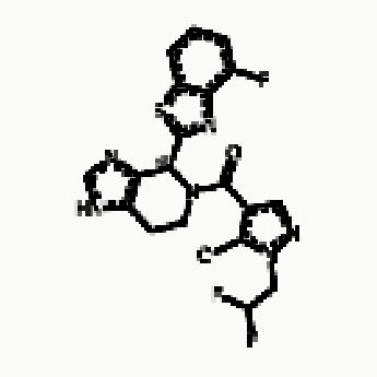 O=C(c1cnn(CC(F)F)c1Cl)N1CCc2[nH]cnc2[C@H]1c1nc2c(F)cccc2s1